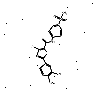 COc1ccc(-c2nc(C)c(C(=O)Nc3ccc(S(C)(=O)=O)cc3)s2)cc1C#N